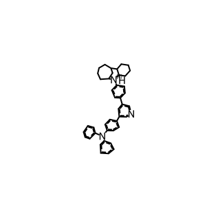 c1ccc(N(c2ccccc2)c2ccc(-c3cncc(-c4ccc(N5C6CCCCC(C6)C6CCCC[C@H]65)cc4)c3)cc2)cc1